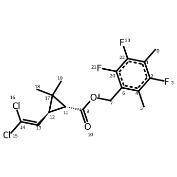 Cc1c(F)c(C)c(COC(=O)[C@@H]2[C@@H](C=C(Cl)Cl)C2(C)C)c(F)c1F